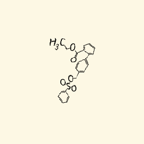 CCOC(=O)c1ccccc1-c1ccc(COS(=O)(=O)c2ccccc2)cc1